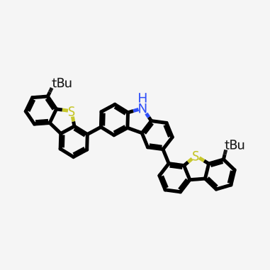 CC(C)(C)c1cccc2c1sc1c(-c3ccc4[nH]c5ccc(-c6cccc7c6sc6c(C(C)(C)C)cccc67)cc5c4c3)cccc12